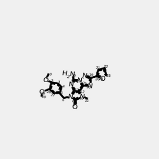 COc1ccc(Cn2c(=O)n(C)c3c2nc(N)n2nc(-c4ccco4)nc32)cc1OC